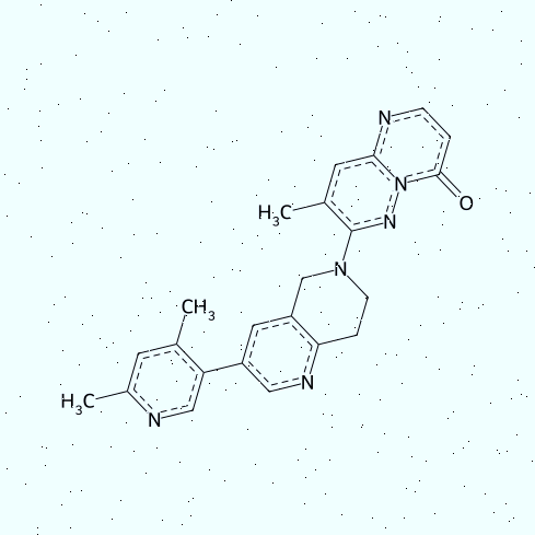 Cc1cc(C)c(-c2cnc3c(c2)CN(c2nn4c(=O)ccnc4cc2C)CC3)cn1